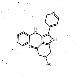 CC(=O)N1CC(=O)c2c([nH]c(C3=CC=NCC3)c2NC2=C=C=CC=C2)C1